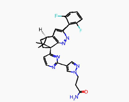 CC1(C)[C@H]2CC[C@@]1(c1ccnc(-c3cnn(CCC(N)=O)c3)n1)c1nnc(-c3c(F)cccc3F)cc12